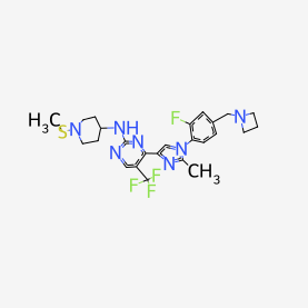 CSN1CCC(Nc2ncc(C(F)(F)F)c(-c3cn(-c4ccc(CN5CCC5)cc4F)c(C)n3)n2)CC1